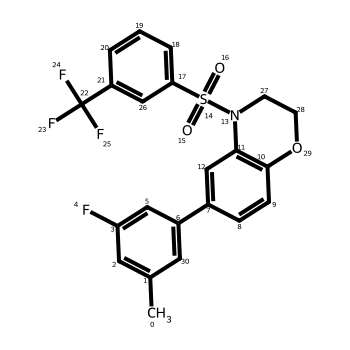 Cc1cc(F)cc(-c2ccc3c(c2)N(S(=O)(=O)c2cccc(C(F)(F)F)c2)CCO3)c1